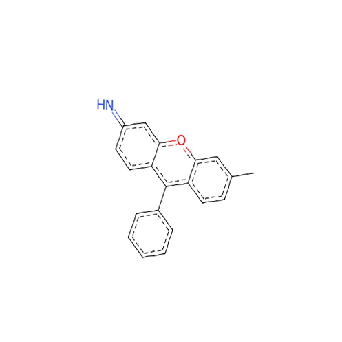 Cc1ccc2c(-c3ccccc3)c3ccc(=N)cc-3oc2c1